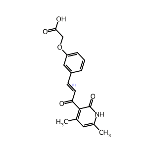 Cc1cc(C)c(C(=O)/C=C/c2cccc(OCC(=O)O)c2)c(=O)[nH]1